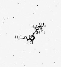 CCOC(=O)c1nc(CNC(=O)OC(C)(C)C)ccc1Cl